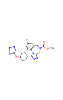 CC(C)(C)OC(=O)N1Cc2cc(Cl)ccc2-n2c(nnc2[C@H]2CC[C@H](Oc3cnccn3)CC2)C1